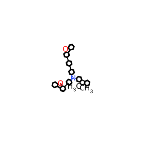 CC1(C)c2ccccc2-c2ccc(N(c3ccc(-c4ccc(-c5ccc6oc7ccccc7c6c5)cc4)cc3)c3ccc(-c4cccc5c4oc4ccccc45)cc3)cc21